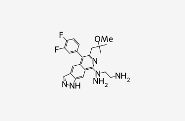 COC(C)(C)Cc1nc(N(N)CCN)c2cc3[nH]ncc3cc2c1-c1ccc(F)c(F)c1